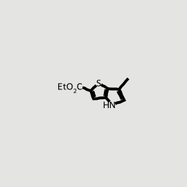 CCOC(=O)c1cc2[nH]cc(C)c2s1